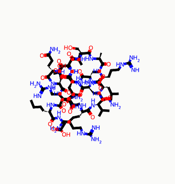 CCCC[C@H](NC(=O)[C@@H](NC(=O)[C@H](CC(=O)O)NC(=O)[C@H](CCC(N)=O)NC(=O)[C@H](CC(C)C)NC(=O)[C@H](CC(C)C)NC(=O)[C@H](CCCCN)NC(=O)[C@H](CCCNC(=N)N)NC(=O)[C@H](C)NC(=O)[C@H](CO)NC(=O)[C@H](CC(C)C)NC(=O)[C@H](CCC(N)=O)NC(=O)[C@H](CC)NC(=O)[C@H](CC(C)C)NC(=O)[C@@H](NC(=O)[C@H](CCCCN)NC(=O)[C@@H](N)CCCNC(=N)N)C(C)C)[C@@H](C)CC)C(=O)N[C@H](CCCNC(=N)N)C(=O)O